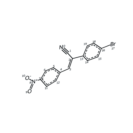 N#C/C(=C\c1ccc([N+](=O)[O-])cc1)c1ccc(Br)cc1